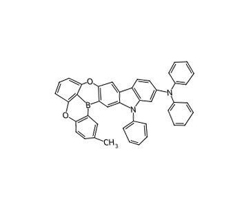 Cc1ccc2c(c1)B1c3cc4c(cc3Oc3cccc(c31)O2)c1ccc(N(c2ccccc2)c2ccccc2)cc1n4-c1ccccc1